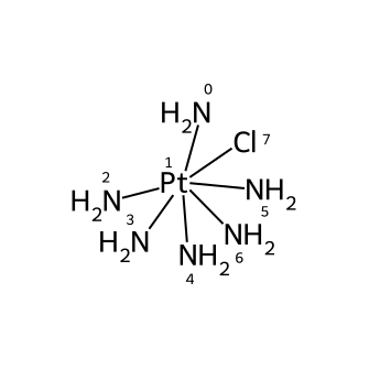 [NH2][Pt]([NH2])([NH2])([NH2])([NH2])([NH2])[Cl]